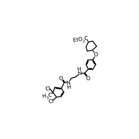 CCOC(=O)[C@H]1CC[C@@H](Oc2ccc(C(=O)NCCNC(=O)C3=CC(C)(Cl)C(Cl)C=C3)cc2)CC1